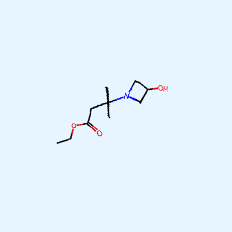 CCOC(=O)CC(C)(C)N1CC(O)C1